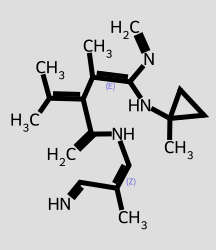 C=N/C(NC1(C)CC1)=C(\C)C(C(=C)N/C=C(/C)C=N)=C(C)C